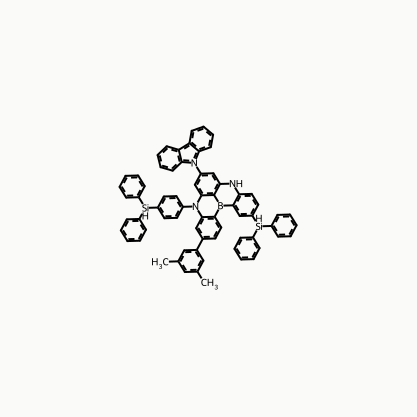 Cc1cc(C)cc(-c2ccc3c(c2)N(c2ccc([SiH](c4ccccc4)c4ccccc4)cc2)c2cc(-n4c5ccccc5c5ccccc54)cc4c2B3c2cc([SiH](c3ccccc3)c3ccccc3)ccc2N4)c1